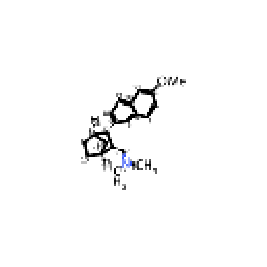 COc1ccc2cc([C@H]3[C@@H]4CC[C@@H](C4)[C@@H]3CN(C)C)ccc2c1